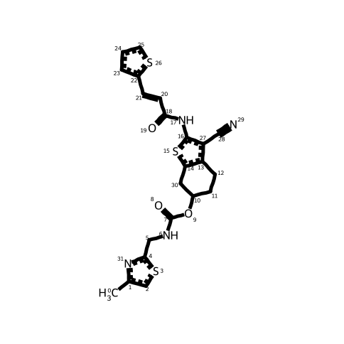 Cc1csc(CNC(=O)OC2CCc3c(sc(NC(=O)C=Cc4cccs4)c3C#N)C2)n1